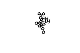 CC1(C)c2cc(N(c3ccccc3)c3ccccc3)ccc2-c2cc3c(cc21)B1c2cc(-c4ccccc4)ccc2N(c2ccc(-c4ccccc4)cc2)c2cccc(c21)N3c1ccccc1